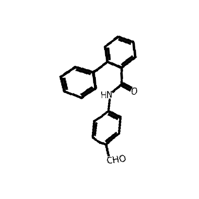 O=Cc1ccc(NC(=O)c2ccccc2-c2ccccc2)cc1